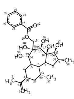 C=C(C)[C@H]1CC2C(C3C[C@H](C)[C@H](O)[C@@]3(O)[C@H](O)[C@](O)(COC(=O)c3ccccc3)[C@H]2O)[C@H](C)C1